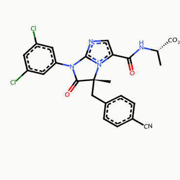 C[C@H](NC(=O)c1cnc2n1[C@](C)(Cc1ccc(C#N)cc1)C(=O)N2c1cc(Cl)cc(Cl)c1)C(=O)O